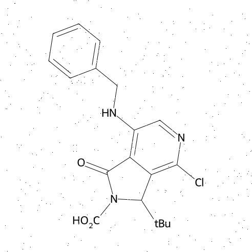 CC(C)(C)C1c2c(Cl)ncc(NCc3ccccc3)c2C(=O)N1C(=O)O